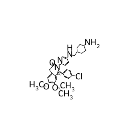 COc1cc2c(cc1OC(C)C)[C@H](c1ccc(Cl)cc1)N(c1ccc(NCC3CCC(N)CC3)cn1)C(=O)C2